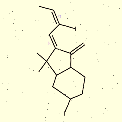 C=C1/C(=C\C(I)=C/C)C(C)(C)C2CC(I)CCC12